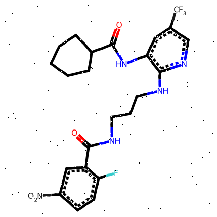 O=C(NCCCNc1ncc(C(F)(F)F)cc1NC(=O)C1CCCCC1)c1cc([N+](=O)[O-])ccc1F